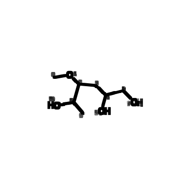 COC(CC(O)CO)C(C)O